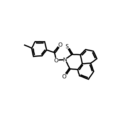 Cc1ccc(C(=O)ON2C(=O)c3cccc4cccc(c34)C2=S)cc1